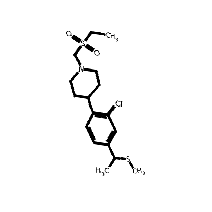 CCS(=O)(=O)CN1CCC(c2ccc(C(C)SC)cc2Cl)CC1